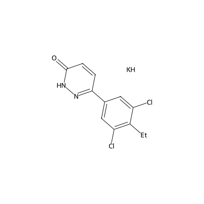 CCc1c(Cl)cc(-c2ccc(=O)[nH]n2)cc1Cl.[KH]